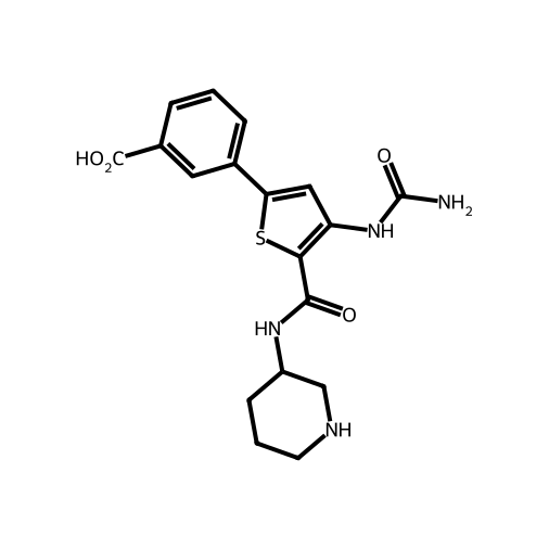 NC(=O)Nc1cc(-c2cccc(C(=O)O)c2)sc1C(=O)NC1CCCNC1